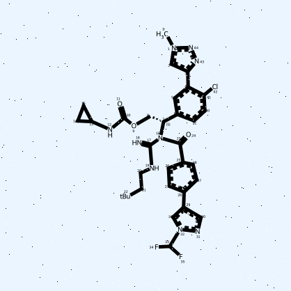 Cn1cc(-c2cc([C@@H](COC(=O)NC3CC3)N(C(=N)NCCC(C)(C)C)C(=O)c3ccc(-c4cnn(C(F)F)c4)cc3)ccc2Cl)nn1